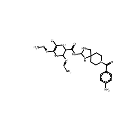 NN=NC1=C(Cl)NC(C(=O)NC2NCC3(CCN(C(=O)c4ccc(N)cc4)CC3)N2)C(N=NN)N1